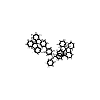 C1=CC2c3cccc(-c4ccc(N(c5ccccc5)c5ccc(-c6ccc7c(c6)C6(c8ccccc8-c8ccccc86)c6ccccc6-7)cc5)cc4)c3C3(c4ccccc4-c4ccccc43)C2C=C1